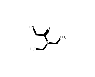 CCN(CC)C(=S)C[NH]